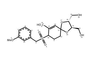 COc1cccc(CS(=O)(=O)C2CCC3(C=C2C(=O)O)O[C@H](CO)[C@@H](CO)O3)c1